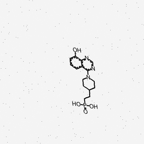 O=P(O)(O)CCC1CCN(c2ncnc3c(O)cccc23)CC1